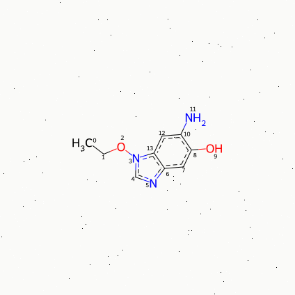 CCOn1cnc2cc(O)c(N)cc21